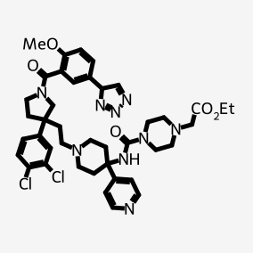 CCOC(=O)CN1CCN(C(=O)NC2(c3ccncc3)CCN(CCC3(c4ccc(Cl)c(Cl)c4)CCN(C(=O)c4cc(C5C=NN=N5)ccc4OC)C3)CC2)CC1